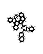 c1ccc2c(c1)-c1c(c3c4c5ccccc5ccc4n(-c4nc(-c5ccc6ccccc6c5)c5sc6ccccc6c5n4)c3c3ccccc13)C21CCCCC1